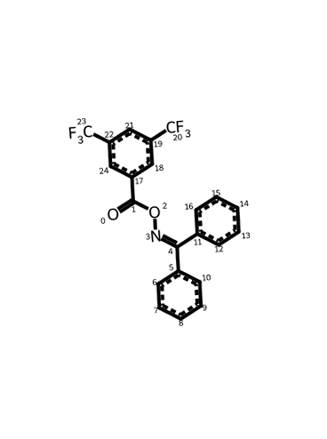 O=C(ON=C(c1ccccc1)c1ccccc1)c1cc(C(F)(F)F)cc(C(F)(F)F)c1